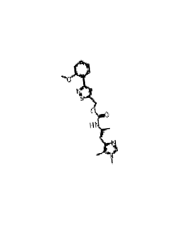 COc1ccccc1-c1cc(COC(=O)N/C(C)=C/c2ncn(C)c2C)sn1